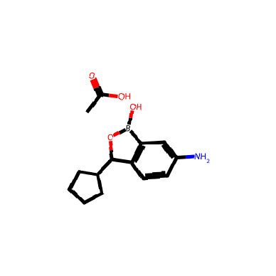 CC(=O)O.Nc1ccc2c(c1)B(O)OC2C1CCCC1